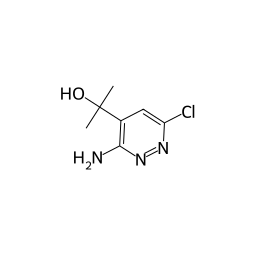 CC(C)(O)c1cc(Cl)nnc1N